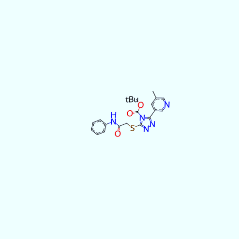 Cc1cncc(-c2nnc(SCC(=O)Nc3ccccc3)n2C(=O)OC(C)(C)C)c1